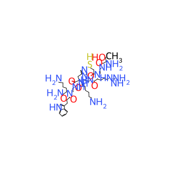 CC(O)C(N)C(=O)NCCN(C(=O)CCS)C(CCCNC(=N)N)C(=O)NCCN(C(=O)CCCCCN)C(Cc1cnc[nH]1)C(=O)NCCN(C(=O)CCc1c[nH]c2ccccc12)C(CCCCN)C(N)=O